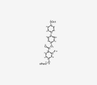 CCCCCCCCc1ccc(-c2ncc(OC(=O)c3ccc(OCCCCC)cc3F)cn2)cc1